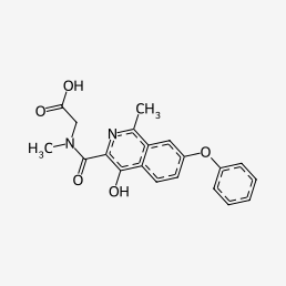 Cc1nc(C(=O)N(C)CC(=O)O)c(O)c2ccc(Oc3ccccc3)cc12